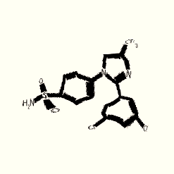 NS(=O)(=O)c1ccc(-n2cc(C(F)(F)F)nc2-c2cc(Cl)cc(Cl)c2)cc1